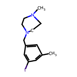 Cc1cc(I)cc(CN2CCN(C)CC2)c1